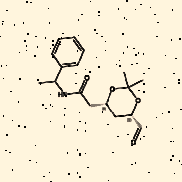 CC(NC(=O)C[C@H]1C[C@@H](C=O)OC(C)(C)O1)c1ccccc1